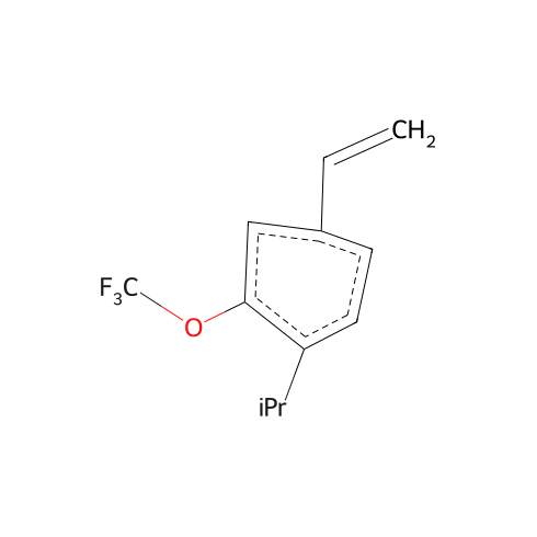 C=Cc1ccc(C(C)C)c(OC(F)(F)F)c1